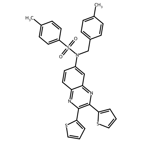 Cc1ccc(CN(c2ccc3nc(-c4cccs4)c(-c4cccs4)nc3c2)S(=O)(=O)c2ccc(C)cc2)cc1